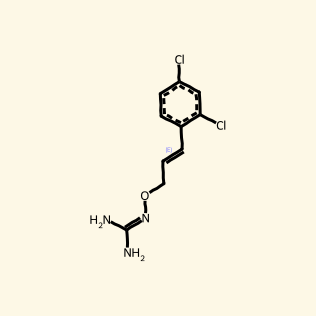 NC(N)=NOC/C=C/c1ccc(Cl)cc1Cl